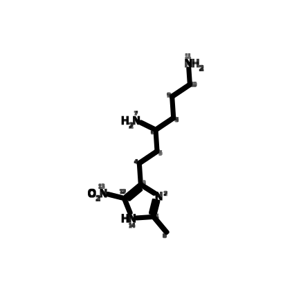 Cc1nc(CCC(N)CCCN)c([N+](=O)[O-])[nH]1